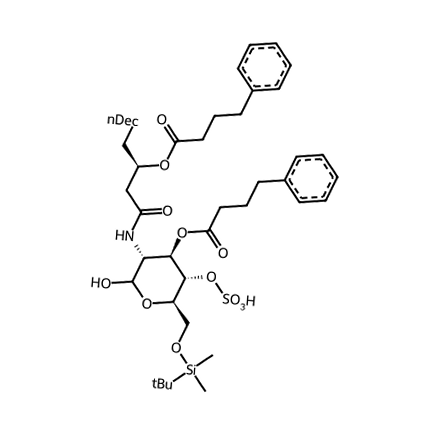 CCCCCCCCCCC[C@H](CC(=O)N[C@H]1C(O)O[C@H](CO[Si](C)(C)C(C)(C)C)[C@@H](OS(=O)(=O)O)[C@@H]1OC(=O)CCCc1ccccc1)OC(=O)CCCc1ccccc1